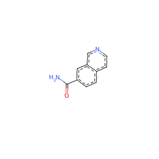 NC(=O)c1ccc2ccncc2c1